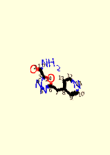 NC(=O)c1nnc(Cc2ccncc2)o1